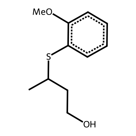 COc1ccccc1SC(C)CCO